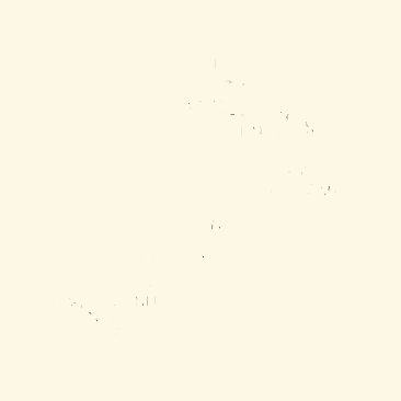 COc1cc2ncnc(Nc3ccc(F)c(Cl)c3)c2cc1OCCCN1CCN(Cc2cccc(NC3CCC(=O)NC3=O)c2)CC1